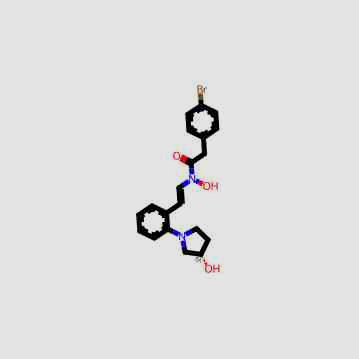 O=C(Cc1ccc(Br)cc1)N(O)C=Cc1ccccc1N1CC[C@H](O)C1